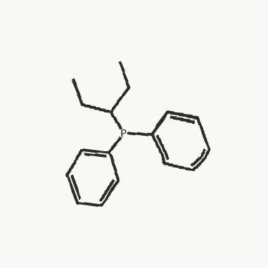 CCC(CC)P(c1ccccc1)c1ccccc1